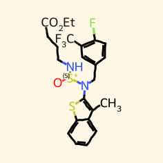 CCOC(=O)CCCN[S@@+]([O-])N(Cc1ccc(F)c(C(F)(F)F)c1)c1sc2ccccc2c1C